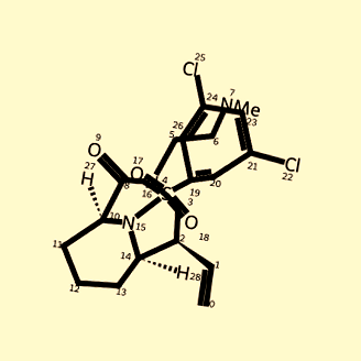 C=C[C@@H]1CN(CCNC)C(=O)[C@@H]2CCC[C@H]1N2S(=O)(=O)c1cc(Cl)cc(Cl)c1